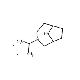 CC(C)N1CCC2CCC(C1)N2